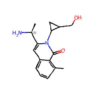 Cc1cccc2cc([C@H](C)N)n(C3CC3CO)c(=O)c12